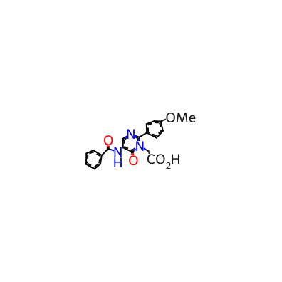 COc1ccc(-c2ncc(NC(=O)c3ccccc3)c(=O)n2CC(=O)O)cc1